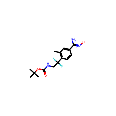 Cc1cc(/C(N)=N/O)ccc1C(F)(F)CNC(=O)OC(C)(C)C